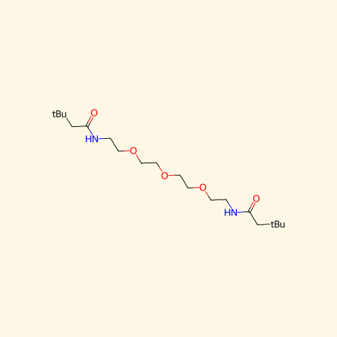 CC(C)(C)CC(=O)NCCOCCOCCOCCNC(=O)CC(C)(C)C